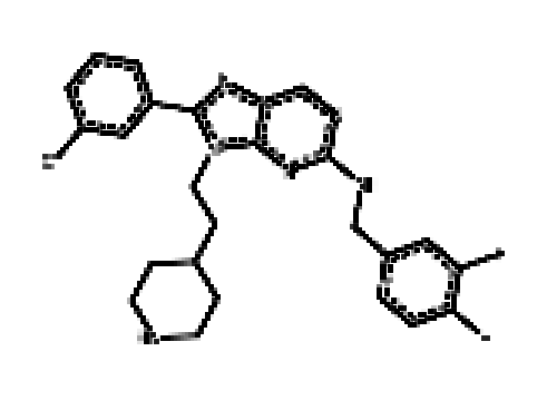 Fc1ccc(CNc2ncc3nc(-c4cccc(Cl)c4)n(CCC4CCNCC4)c3n2)cc1F